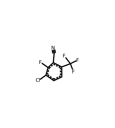 N#Cc1c(C(F)(F)F)ccc(Cl)c1F